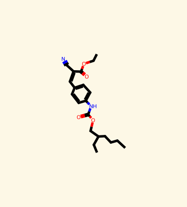 CCCCC(CC)COC(=O)Nc1ccc(C=C(C#N)C(=O)OCC)cc1